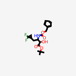 CC(C)(C)OC(=O)C(O)C(CC1CC1(F)F)NC(=O)OCc1ccccc1